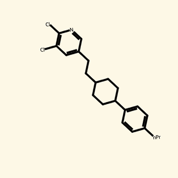 CCCc1ccc(C2CCC(CCc3cnc(Cl)c(Cl)c3)CC2)cc1